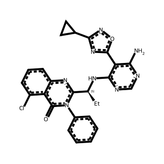 CC[C@H](Nc1ncnc(N)c1-c1nc(C2CC2)no1)c1nc2cccc(Cl)c2c(=O)n1-c1ccccc1